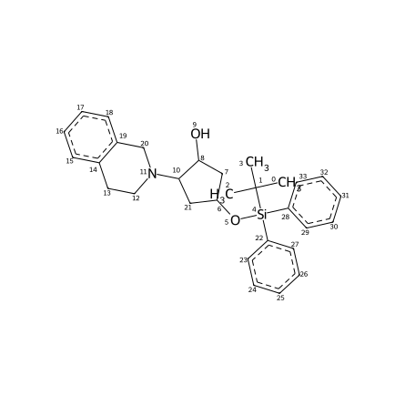 CC(C)(C)[Si](OC1CC(O)C(N2CCc3ccccc3C2)C1)(c1ccccc1)c1ccccc1